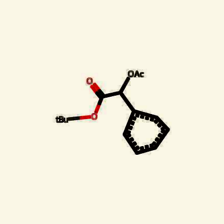 CC(=O)OC(C(=O)OC(C)(C)C)c1ccccc1